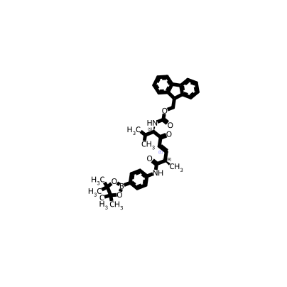 CC(C)[C@H](NC(=O)OCC1c2ccccc2-c2ccccc21)C(=O)/C=C/[C@@H](C)C(=O)Nc1ccc(B2OC(C)(C)C(C)(C)O2)cc1